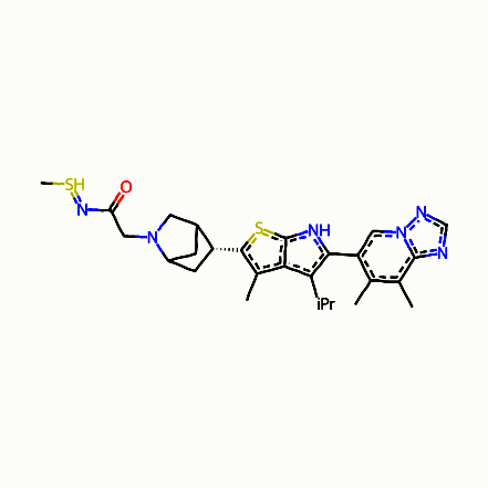 C/[SH]=N/C(=O)CN1CC2CC1C[C@H]2c1sc2[nH]c(-c3cn4ncnc4c(C)c3C)c(C(C)C)c2c1C